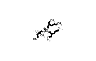 CCCCC(CC)COP(=O)(OCC(CC)CCCC)OCC(C)(C)CCO